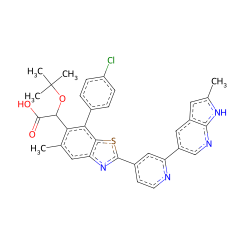 Cc1cc2cc(-c3cc(-c4nc5cc(C)c(C(OC(C)(C)C)C(=O)O)c(-c6ccc(Cl)cc6)c5s4)ccn3)cnc2[nH]1